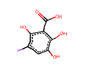 O=C(O)c1c(O)c(O)cc(I)c1O